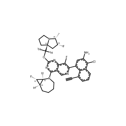 [2H]C([2H])(Oc1nc(N2CCCC[C@H]3[C@H](F)[C@H]32)c2cnc(-c3cc(N)c(Cl)c4cccc(C#C)c34)c(F)c2n1)[C@@]12CCCN1[C@H](C)[C@H](F)C2